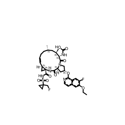 CCOc1cc2ccnc(O[C@@H]3C[C@H]4C(=O)N[C@]5(C(=O)NS(=O)(=O)C6(CF)CC6)C[C@H]5C=CCC[C@H](C)C[C@@H](C)[C@H](NC(=O)O)C(=O)N4C3)c2cc1F